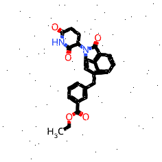 CCOC(=O)c1cccc(CC2=C3C=CC4=C(C3)C(=C2)N(C2CCC(=O)NC2=O)C4=O)c1